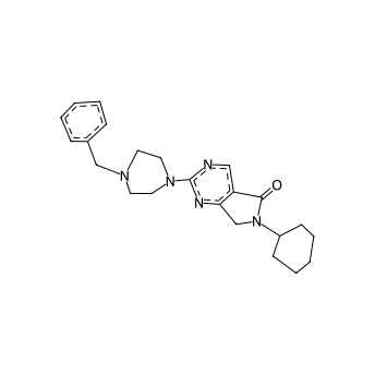 O=C1c2cnc(N3CCN(Cc4ccccc4)CC3)nc2CN1C1CCCCC1